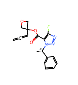 C=C=CC1(OC(=O)c2c(F)nnn2[C@H](C)c2ccccc2)COC1